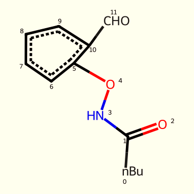 CCCCC(=O)NOc1ccccc1C=O